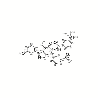 CCN1C(=O)[C@@H](NC(=O)c2cccc(C(F)(F)F)c2)[C@H](c2cccc([N+](=O)[O-])c2)c2cnn(-c3cccc(O)c3)c21